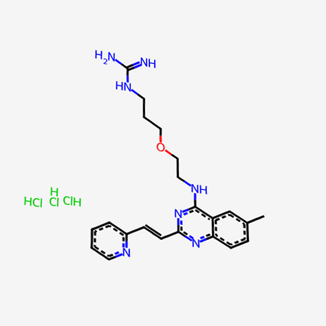 Cc1ccc2nc(C=Cc3ccccn3)nc(NCCOCCCNC(=N)N)c2c1.Cl.Cl.Cl